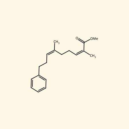 COC(=O)C(C)=CCCC(C)=CCCc1ccccc1